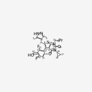 Cc1n[nH]c(C)c1Cc1sc2c(c1-c1ccc(F)c(CO)c1F)c(=O)n(C1CC1)c(=O)n2CC(C)C